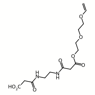 C=COCCOCCOC(=O)CC(=O)NCCNC(=O)CC(=O)O